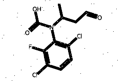 CC(CC=O)N(C(=O)O)c1c(Cl)ccc(Cl)c1F